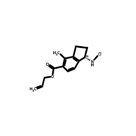 C=CCOC(=O)c1ccc2c(c1C)CC[C@@H]2NCl